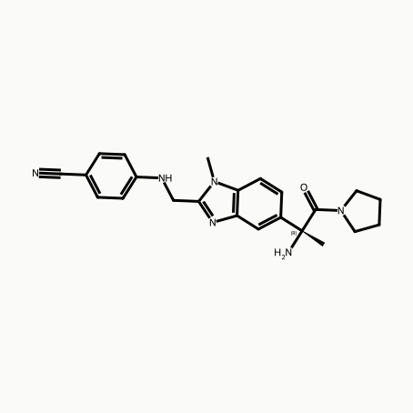 Cn1c(CNc2ccc(C#N)cc2)nc2cc([C@@](C)(N)C(=O)N3CCCC3)ccc21